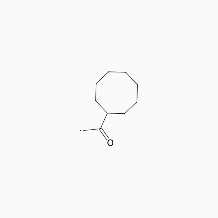 [CH2]C(=O)C1CCCCCCC1